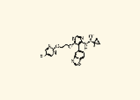 CC1([S+]([O-])Nc2ncnc(OCCOc3ncc(Br)cn3)c2-c2ccc3scnc3c2)CC1